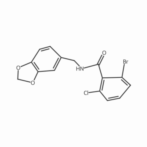 O=C(NCc1ccc2c(c1)OCO2)c1c(Cl)cccc1Br